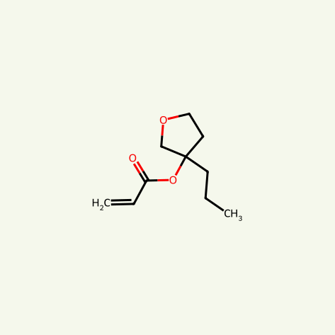 C=CC(=O)OC1(CCC)CCOC1